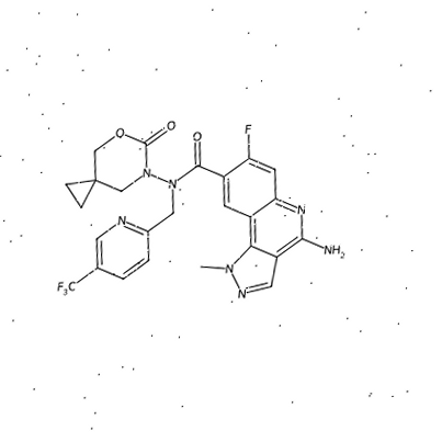 Cn1ncc2c(N)nc3cc(F)c(C(=O)N(Cc4ccc(C(F)(F)F)cn4)N4CC5(CC5)COC4=O)cc3c21